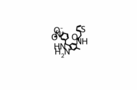 Cc1cc(N)c(C(=N)c2cccc([N+](=O)[O-])c2)cc1NC(=O)Cc1cccs1